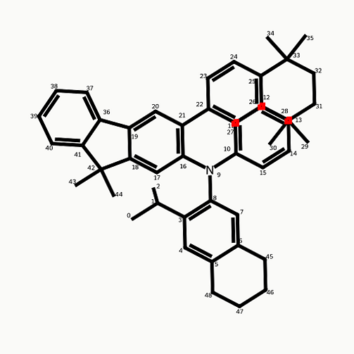 CC(C)c1cc2c(cc1N(c1ccccc1)c1cc3c(cc1-c1ccc4c(c1)C(C)(C)CCC4(C)C)-c1ccccc1C3(C)C)CCCC2